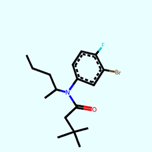 CCCC(C)N(C(=O)CC(C)(C)C)c1ccc(F)c(Br)c1